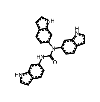 O=C(Nc1ccc2cc[nH]c2c1)N(c1ccc2cc[nH]c2c1)c1ccc2cc[nH]c2c1